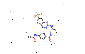 CCC(=O)Nc1ccc(C(=O)N2CCCC(Nc3ncc4ccc(S(C)(=O)=O)cc4n3)C2)cc1